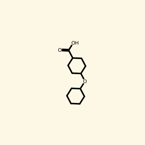 O=C(O)C1CCC(OC2CCCCC2)CC1